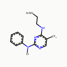 CCN(c1ccccc1)c1ncc(C(F)(F)F)c(NCCNC(C)=O)n1